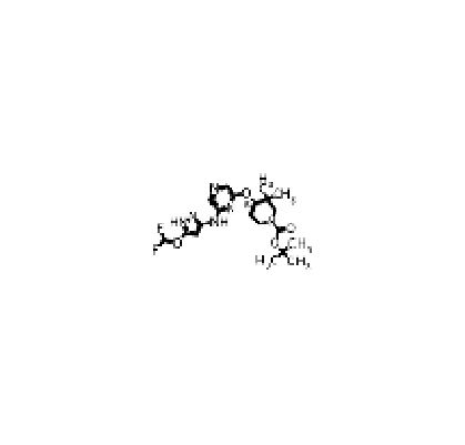 CC(C)(C)OC(=O)N1CC[C@H](Oc2cncc(Nc3cc(OC(F)F)[nH]n3)n2)C(C)(C)C1